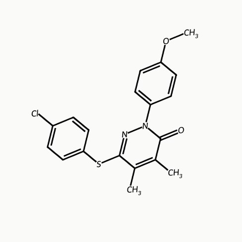 COc1ccc(-n2nc(Sc3ccc(Cl)cc3)c(C)c(C)c2=O)cc1